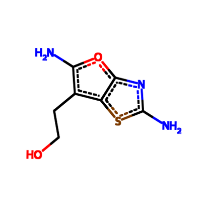 Nc1nc2oc(N)c(CCO)c2s1